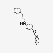 [N-]=[N+]=NCOc1ccc(NCCCc2ccccc2)cc1